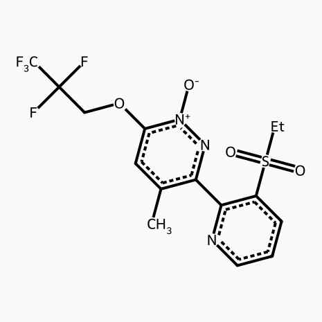 CCS(=O)(=O)c1cccnc1-c1n[n+]([O-])c(OCC(F)(F)C(F)(F)F)cc1C